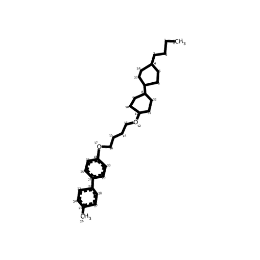 CCCCC1CCC(C2CCC(OCCCCOc3ccc(-c4ccc(C)cc4)cc3)CC2)CC1